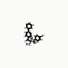 [C-]#[N+]/C(=C(\C)c1ccc(-c2ccccc2)cc1)S(=O)(=O)c1ccc(C)cc1